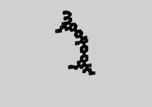 CCn1c(-c2ccc(C3=CCN(/C(=N\C(=O)OC(C)(C)C)NC(=O)OC(C)(C)C)CC3)cc2)nnc1-c1ccc(C2=CCN(/C(=N/C(=O)OC(C)(C)C)NC(=O)OC(C)(C)C)CC2)cc1